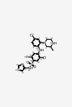 CC1CN(c2cc(Cl)ccc2Nc2cc(F)c(S(=O)(=O)Nc3cscn3)cc2Cl)CCN1